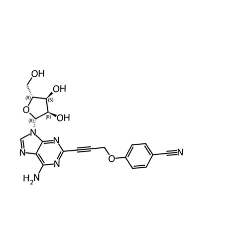 N#Cc1ccc(OCC#Cc2nc(N)c3ncn([C@@H]4O[C@H](CO)[C@@H](O)[C@H]4O)c3n2)cc1